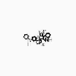 O=C(Nc1ccc(NC2CCCCC2)cc1C(F)(F)F)c1c[nH]c2cccc(C(F)(F)F)c2c1=O